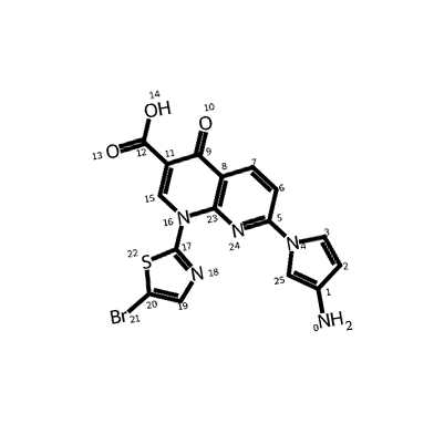 Nc1ccn(-c2ccc3c(=O)c(C(=O)O)cn(-c4ncc(Br)s4)c3n2)c1